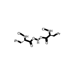 CC(C)C[C@H](NCl)C(=O)OBOC(=O)[C@H](CC(C)C)NCl